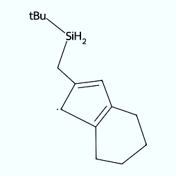 CC(C)(C)[SiH2]CC1=CC2=C([CH]1)CCCC2